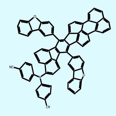 N#Cc1ccc(N(c2ccc(C#N)cc2)c2ccc3c4c(-c5ccc6oc7ccccc7c6c5)c5c6ccc7c8cccc9cccc(c%10ccc(c5c(-c5ccc%11oc%12ccccc%12c%11c5)c4c4cccc2c43)c6c%107)c98)cc1